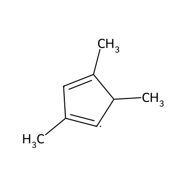 CC1=[C]C(C)C(C)=C1